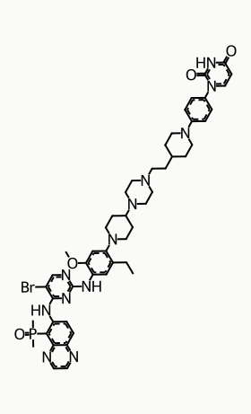 CCc1cc(Nc2ncc(Br)c(Nc3ccc4nccnc4c3P(C)(C)=O)n2)c(OC)cc1N1CCC(N2CCN(CCC3CCN(c4ccc(-n5ccc(=O)[nH]c5=O)cc4)CC3)CC2)CC1